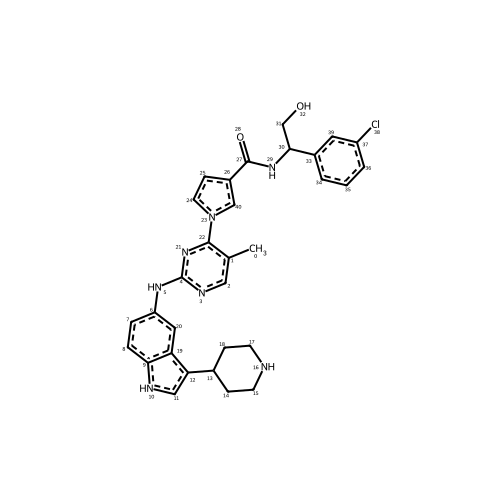 Cc1cnc(Nc2ccc3[nH]cc(C4CCNCC4)c3c2)nc1-n1ccc(C(=O)NC(CO)c2cccc(Cl)c2)c1